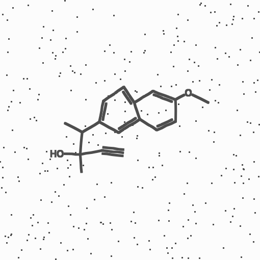 C#CC(C)(O)C(C)c1ccc2cc(OC)ccc2c1